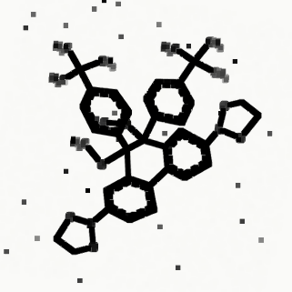 COC1(c2ccc(C(C)(C)C)cc2)c2cc(B3OCCO3)ccc2-c2ccc(B3OCCO3)cc2C1(OC)c1ccc(C(C)(C)C)cc1